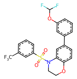 O=S(=O)(c1cccc(C(F)(F)F)c1)N1CCOc2ccc(-c3cccc(OC(F)F)c3)cc21